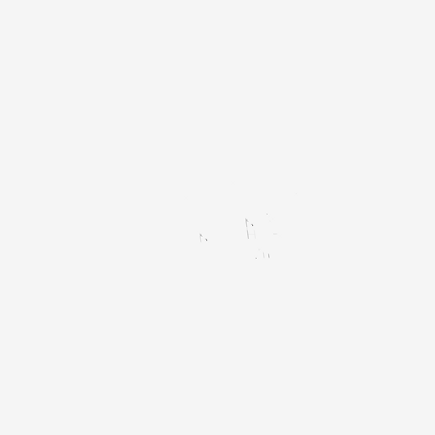 Cc1ccccc1S(=O)(=O)Nc1cccc2cccnc12.[Zn]